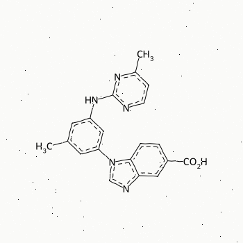 Cc1cc(Nc2nccc(C)n2)cc(-n2cnc3cc(C(=O)O)ccc32)c1